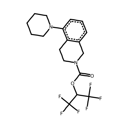 O=C(OC(C(F)(F)F)C(F)(F)F)N1CCc2c(cccc2N2CCCCC2)C1